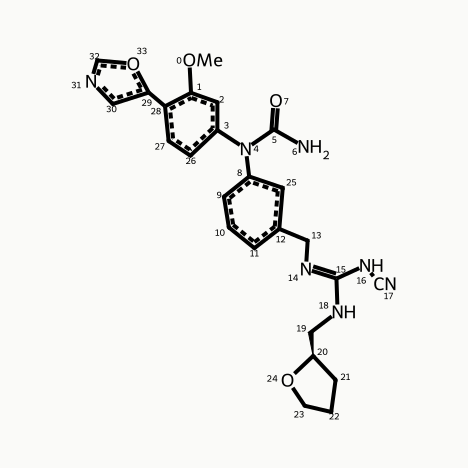 COc1cc(N(C(N)=O)c2cccc(C/N=C(\NC#N)NC[C@H]3CCCO3)c2)ccc1-c1cnco1